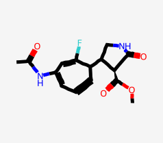 COC(=O)[C@@H]1C(=O)NCC1C1C#CC=C(NC(C)=O)C=C1F